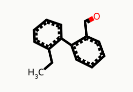 CCc1ccccc1-c1ccccc1C=O